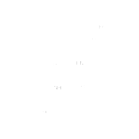 CCOc1ccc(C)cc1NC(=O)C(=O)Nc1ccccc1CC